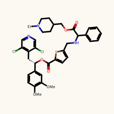 CCN1CCC(COC(=O)C(NCc2ccc(C(=O)O[C@@H](Cc3c(Cl)cncc3Cl)c3ccc(OC)c(OC)c3)s2)c2ccccc2)CC1